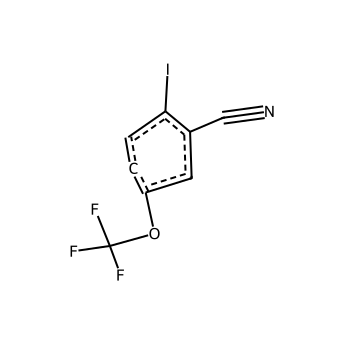 N#Cc1cc(OC(F)(F)F)ccc1I